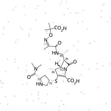 C/C(=N/OC(C)(C)C(=O)O)C(=O)N[C@H](C)[C@H]1C(=O)N2C(C(=O)O)=C(S[C@@H]3CN[C@H](C(=O)N(C)C)C3)[C@H](C)[C@H]12